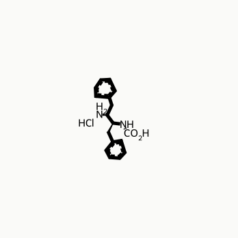 Cl.N[C@@H](Cc1ccccc1)[C@H](Cc1ccccc1)NC(=O)O